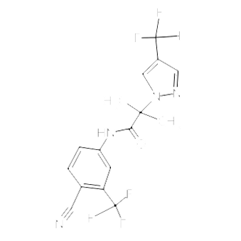 CC(C)(C(=O)Nc1ccc(C#N)c(C(F)(F)F)c1)n1cc(C(F)(F)F)cn1